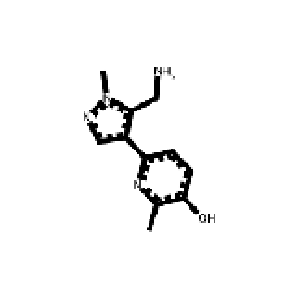 Cc1nc(-c2cnn(C)c2CN)ccc1O